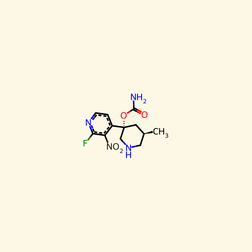 C[C@H]1CNC[C@@](OC(N)=O)(c2ccnc(F)c2[N+](=O)[O-])C1